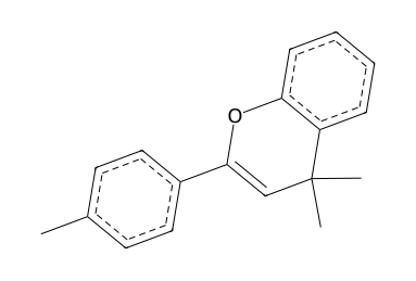 Cc1ccc(C2=CC(C)(C)c3ccccc3O2)cc1